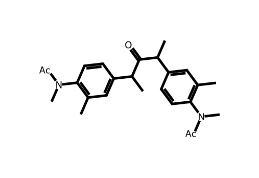 CC(=O)N(C)c1ccc(C(C)C(=O)C(C)c2ccc(N(C)C(C)=O)c(C)c2)cc1C